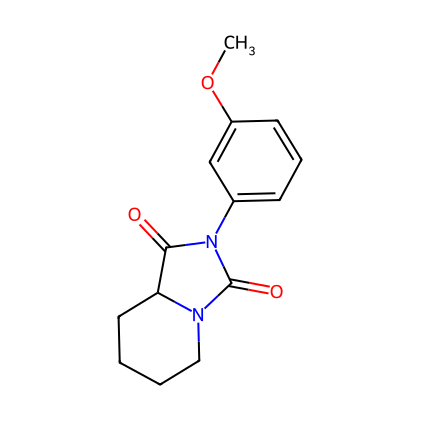 COc1cccc(N2C(=O)C3CCCCN3C2=O)c1